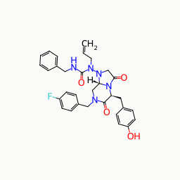 C=CCN(C(=O)NCc1ccccc1)N1CC(=O)N2[C@@H](Cc3ccc(O)cc3)C(=O)N(Cc3ccc(F)cc3)C[C@@H]21